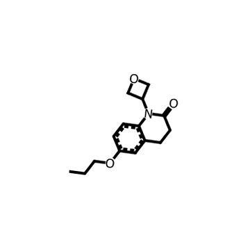 CCCOc1ccc2c(c1)CCC(=O)N2C1COC1